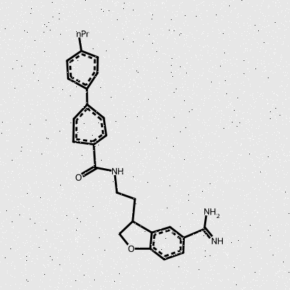 CCCc1ccc(-c2ccc(C(=O)NCCC3COc4ccc(C(=N)N)cc43)cc2)cc1